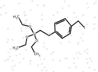 CCO[Si](CCc1ccc(CI)cc1)(OCC)OCC